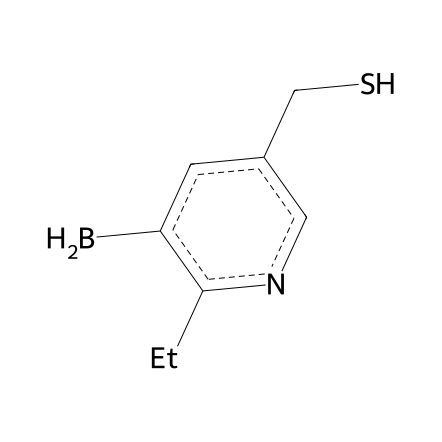 Bc1cc(CS)cnc1CC